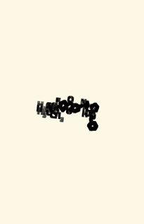 CC1(C)OB(c2cc3oc4ccc(-c5ncc([C@@H]6CCCN6C(=O)OCc6ccccc6)[nH]5)cc4c(=O)c3cc2F)OC1(C)C